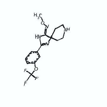 CO/N=C1\NC(c2cccc(OC(F)(F)F)c2)=NC12CCNCC2